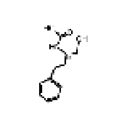 O=C(O)N[C@@H](CO)CCc1ccccc1